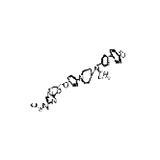 CN(Cc1ccc(-c2ccc(Cl)cc2)cc1)C1CCN(c2ccc(OC[C@H]3CCn4cc([N+](=O)[O-])nc4O3)cc2)CC1